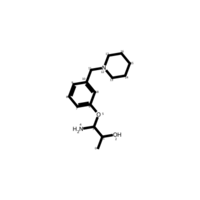 CC(O)C(N)Oc1cccc(CN2CCCCC2)c1